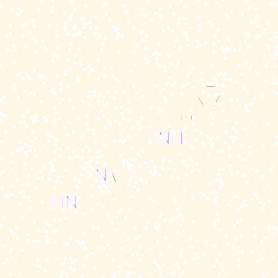 O=C(COCc1ccc(F)cc1)NCCCCCc1csc(C2CCNCC2)n1